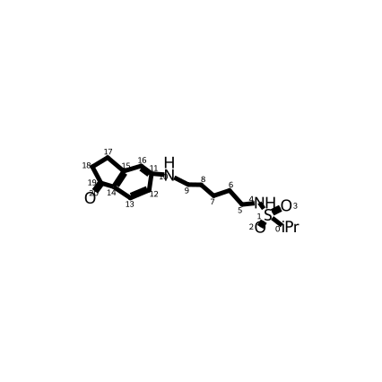 CC(C)S(=O)(=O)NCCCCCNc1ccc2c(c1)CCC2=O